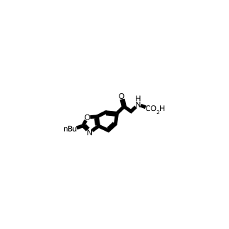 CCCCc1nc2ccc(C(=O)CNC(=O)O)cc2o1